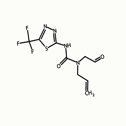 C=CCN(CC=O)C(=O)Nc1nnc(C(F)(F)F)s1